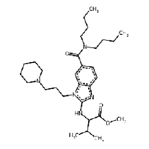 CCCCN(CCCC)C(=O)c1ccc2nc(NC(C(=O)OC)C(C)C)n(CCCN3CCCCC3)c2c1